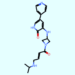 CC(C)NCC=CC(=O)N1CC(Nc2cc(-c3ccncc3)c[nH]c2=O)C1